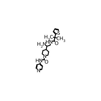 CC(C)(C(=O)NCC(N)C1CCN(C(=O)Nc2ccncc2)CC1)c1cccs1